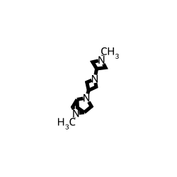 CN1CC(N2CC(N3CC4CC3CN4C)C2)C1